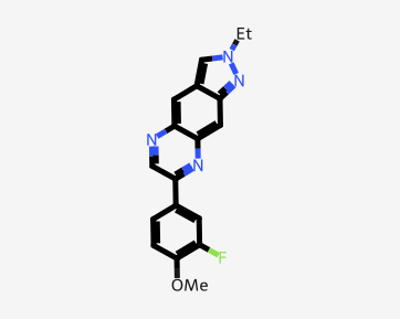 CCn1cc2cc3ncc(-c4ccc(OC)c(F)c4)nc3cc2n1